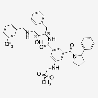 CS(=O)(=O)CNc1cc(C(=O)N[C@H](Cc2ccccc2)[C@H](O)CNCc2cccc(C(F)(F)F)c2)cc(C(=O)N2CCCC2c2ccccc2)c1